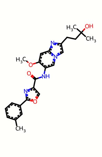 COc1cc2nc(CCC(C)(C)O)cn2cc1NC(=O)c1coc(-c2cccc(C)c2)n1